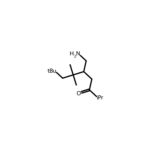 CC(C)C(=O)CC(CN)C(C)(C)CC(C)(C)C